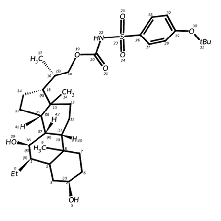 CC[C@@H]1C2C[C@H](O)CCC2(C)[C@H]2CCC3(C)[C@@H]([C@H](C)COC(=O)NS(=O)(=O)c4ccc(OC(C)(C)C)cc4)CC[C@H]3[C@H]2[C@@H]1O